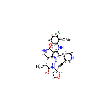 C=CC(=O)NC1(C#Cc2cnccc2-c2[nH]c3c(c2Nc2cccc(Cl)c2OC)C(=O)NCC3)CCOC1